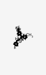 Cc1ccn2nc(NC(=O)Cc3ccc(F)cc3)c(-c3ccc(OC(F)(F)F)cc3)c2n1